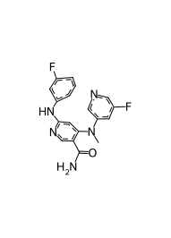 CN(c1cncc(F)c1)c1cc(Nc2cccc(F)c2)ncc1C(N)=O